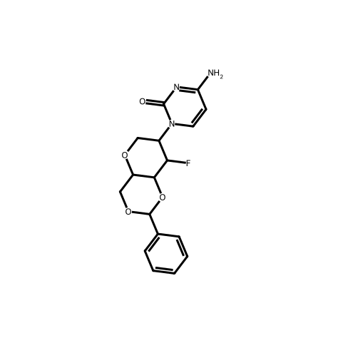 Nc1ccn(C2COC3COC(c4ccccc4)OC3C2F)c(=O)n1